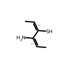 C/C=C(N)\C(S)=C/C